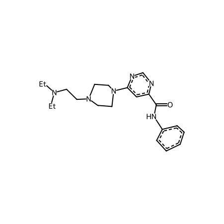 CCN(CC)CCN1CCN(c2cc(C(=O)Nc3ccccc3)ncn2)CC1